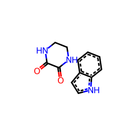 O=C1NCCNC1=O.c1ccc2[nH]ccc2c1